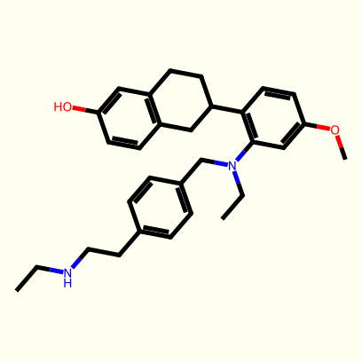 CCNCCc1ccc(CN(CC)c2cc(OC)ccc2C2CCc3cc(O)ccc3C2)cc1